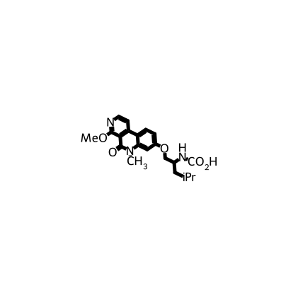 COc1nccc2c1c(=O)n(C)c1cc(OCC(CC(C)C)NC(=O)O)ccc21